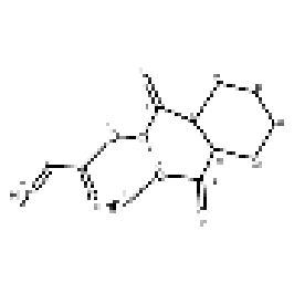 C=CC(=O)OOC(=O)C1CCCCC1C(=O)OCCC